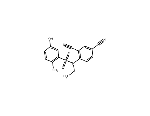 CCN(c1ccc(C#N)cc1C#N)S(=O)(=O)c1cc(O)ccc1C